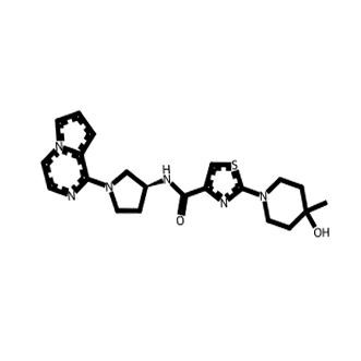 CC1(O)CCN(c2nc(C(=O)N[C@H]3CCN(c4nccn5cccc45)C3)cs2)CC1